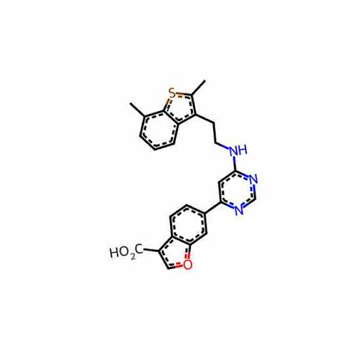 Cc1sc2c(C)cccc2c1CCNc1cc(-c2ccc3c(C(=O)O)coc3c2)ncn1